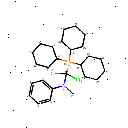 CN(c1ccccc1)C(Cl)(Cl)[PH](C1CCCCC1)(C1CCCCC1)C1CCCCC1